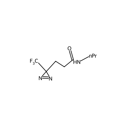 CCCNC(=O)CCC1(C(F)(F)F)N=N1